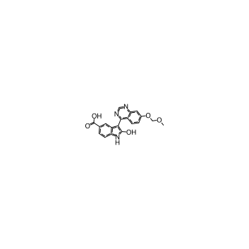 COCOc1ccc2c(-c3c(O)[nH]c4ccc(C(=O)O)cc34)ncnc2c1